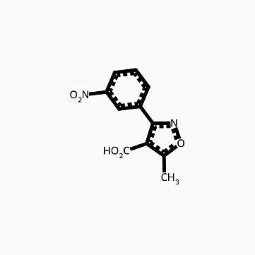 Cc1onc(-c2cccc([N+](=O)[O-])c2)c1C(=O)O